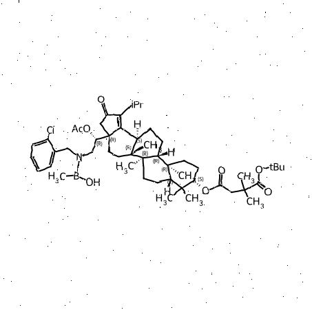 CB(O)N(Cc1ccccc1Cl)C[C@H](OC(C)=O)[C@@]12CC[C@]3(C)[C@H](CC[C@@H]4[C@@]5(C)CC[C@H](OC(=O)CC(C)(C)C(=O)OC(C)(C)C)C(C)(C)[C@@H]5CC[C@]43C)C1=C(C(C)C)C(=O)C2